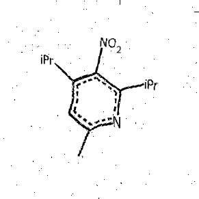 [CH2]c1cc(C(C)C)c([N+](=O)[O-])c(C(C)C)n1